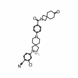 C[C@H]1CC2(CCN(c3ccc(C(=O)N4CC5(CCC(=O)CC5)C4)cc3)CC2)CN1c1ccc(C#N)c(Cl)c1